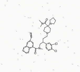 CN(C)C(=O)C1(N2CCCC2)CCN(CCC(CN(C)C(=O)c2cc(C#N)cc3ccccc23)c2ccc(Cl)c(Cl)c2)CC1